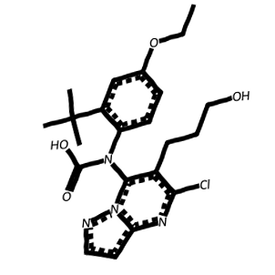 CCOc1ccc(N(C(=O)O)c2c(CCCO)c(Cl)nc3ccnn23)c(C(C)(C)C)c1